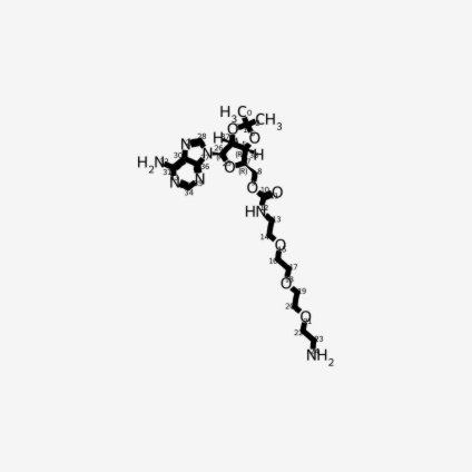 CC1(C)O[C@@H]2[C@H](O1)[C@@H](COC(=O)NCCOCCOCCOCCN)O[C@H]2n1cnc2c(N)ncnc21